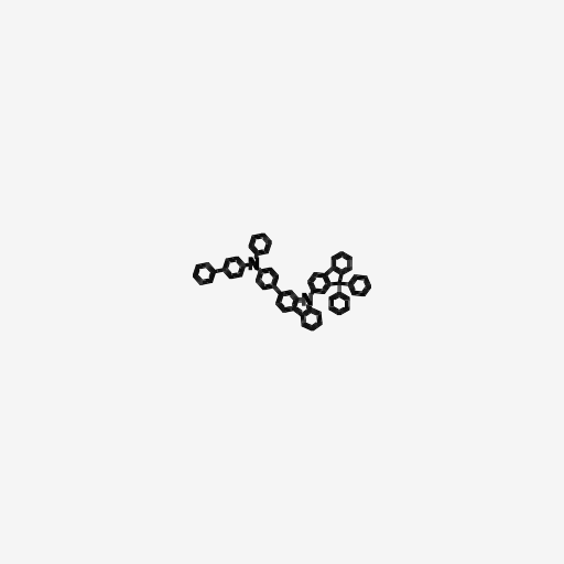 c1ccc(-c2ccc(N(c3ccccc3)c3ccc(-c4ccc5c6ccccc6n(-c6ccc7c(c6)C(c6ccccc6)(c6ccccc6)c6ccccc6-7)c5c4)cc3)cc2)cc1